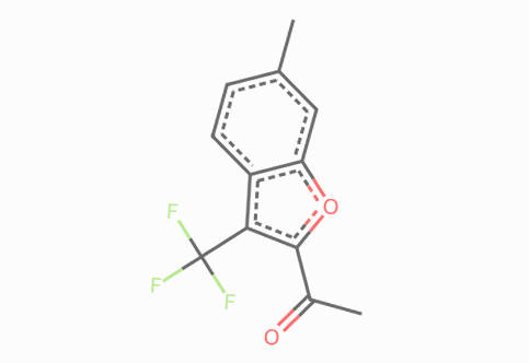 CC(=O)c1oc2cc(C)ccc2c1C(F)(F)F